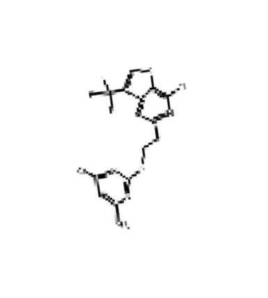 Nc1cc(Cl)nc(SCCc2cc3c(C(F)(F)F)csc3c(Cl)n2)n1